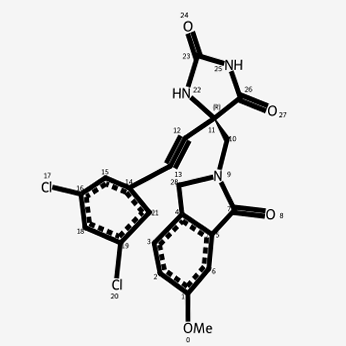 COc1ccc2c(c1)C(=O)N(C[C@@]1(C#Cc3cc(Cl)cc(Cl)c3)NC(=O)NC1=O)C2